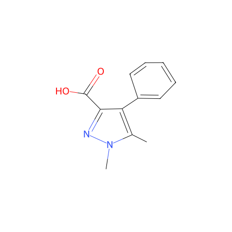 Cc1c(-c2ccccc2)c(C(=O)O)nn1C